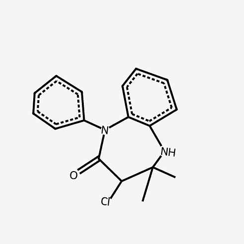 CC1(C)Nc2ccccc2N(c2ccccc2)C(=O)C1Cl